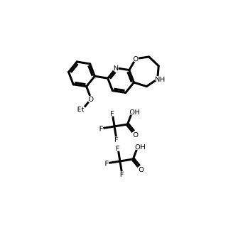 CCOc1ccccc1-c1ccc2c(n1)OCCNC2.O=C(O)C(F)(F)F.O=C(O)C(F)(F)F